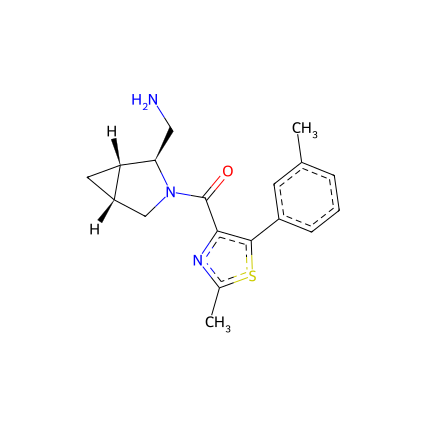 Cc1cccc(-c2sc(C)nc2C(=O)N2C[C@@H]3C[C@@H]3[C@H]2CN)c1